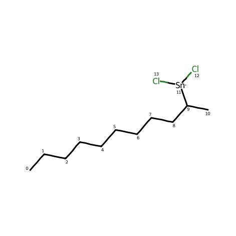 CCCCCCCCC[CH](C)[Sn]([Cl])[Cl]